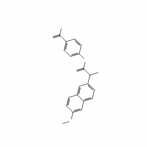 COc1ccc2cc(C(C)C(=O)Oc3ccc(C(N)=O)cc3)ccc2c1